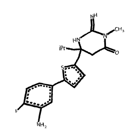 CC(C)C1(c2ccc(-c3ccc(F)c(N)c3)s2)CC(=O)N(C)C(=N)N1